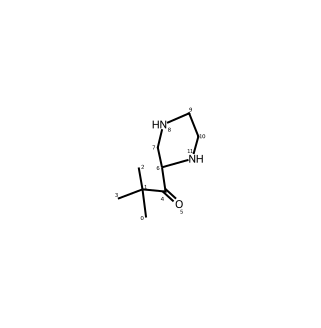 CC(C)(C)C(=O)C1CNCCN1